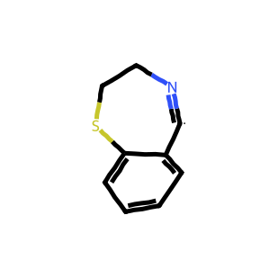 [C]1=NCCSc2ccccc21